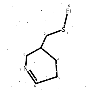 CCSCC1CCC=NC1